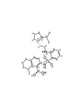 CC1CCCc2ccc(NS(=O)(=O)c3ccccc3NCC[C@@H]3CCCN3C(C)C)c(C(=O)O)c21